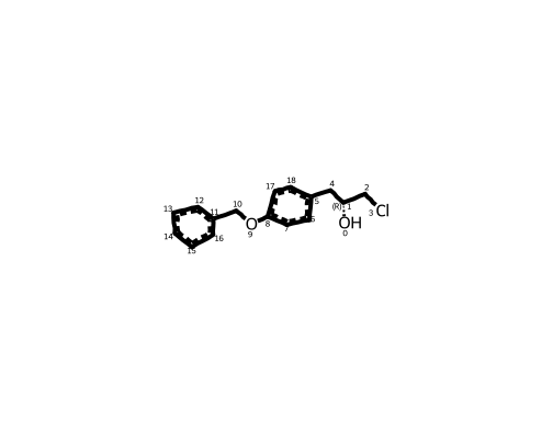 O[C@@H](CCl)Cc1ccc(OCc2ccccc2)cc1